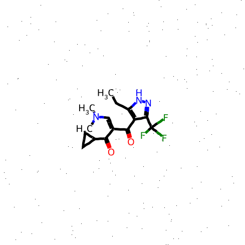 CCc1[nH]nc(C(F)(F)F)c1C(=O)C(=CN(C)C)C(=O)C1CC1